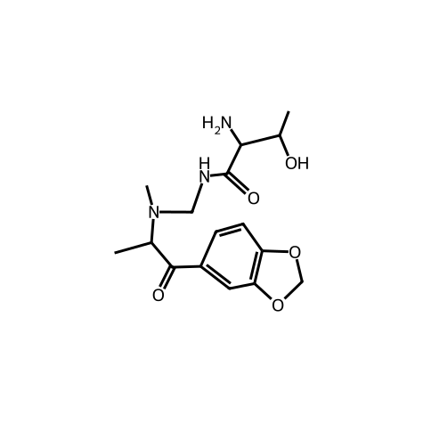 CC(O)C(N)C(=O)NCN(C)C(C)C(=O)c1ccc2c(c1)OCO2